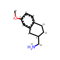 COc1ccc2c(c1)CC(CN)CC2